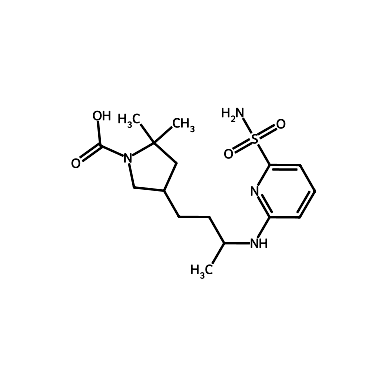 CC(CCC1CN(C(=O)O)C(C)(C)C1)Nc1cccc(S(N)(=O)=O)n1